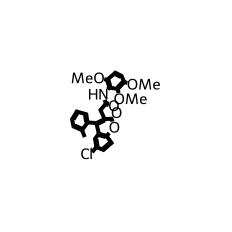 COc1ccc(OC)c(OC)c1NC(=O)Cc1c(-c2ccccc2C)c2cc(Cl)ccc2oc1=O